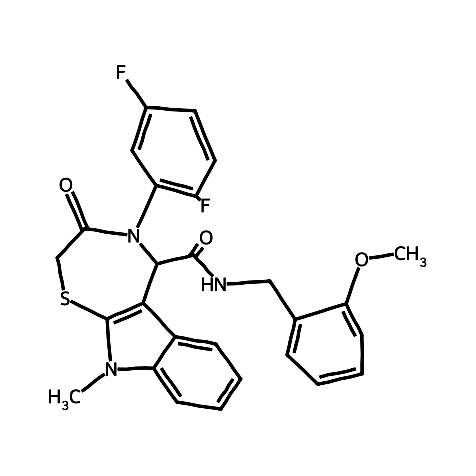 COc1ccccc1CNC(=O)C1c2c(n(C)c3ccccc23)SCC(=O)N1c1cc(F)ccc1F